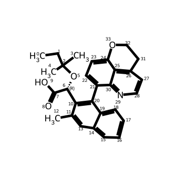 CCC(C)(C)O[C@@H](C(=O)O)c1c(C)cc2ccccc2c1-c1ccc2c3c(ccnc13)CCO2